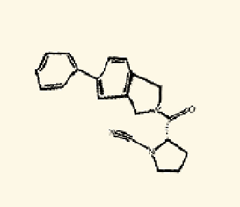 N#CN1CCC[C@H]1C(=O)N1Cc2ccc(-c3ccccc3)cc2C1